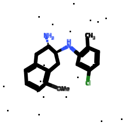 COc1cccc2c1C[C@H](Nc1cc(Cl)ccc1C)[C@@H](N)C2